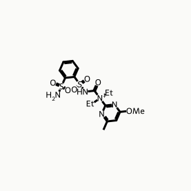 CC[N+](CC)(C(=O)NS(=O)(=O)c1ccccc1S(N)(=O)=O)c1nc(C)cc(OC)n1